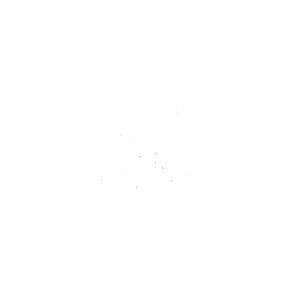 C=CC1=C(C)[C@@H]2C=C(C)CC[C@H]2C(=C)O1